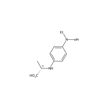 CCCN(CC)c1ccc(N[C@@H](C)C(=O)O)cc1